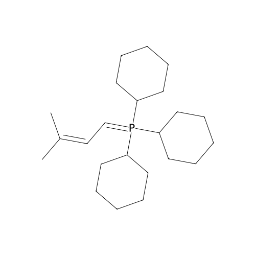 CC(C)=CC=P(C1CCCCC1)(C1CCCCC1)C1CCCCC1